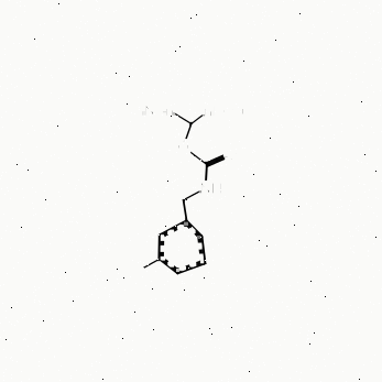 CCCCCCCCCC(CCCCC)OC(=O)NCc1cccc(F)c1